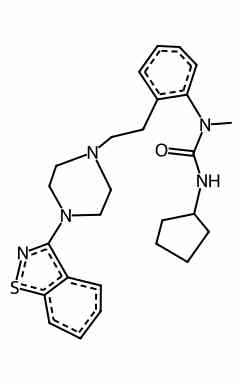 CN(C(=O)NC1CCCC1)c1ccccc1CCN1CCN(c2nsc3ccccc23)CC1